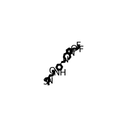 Cc1nc(/C=C/C(=O)N[C@H]2CC[C@H](CCN3CCc4ccc(OCC(F)F)nc4CC3)CC2)cs1